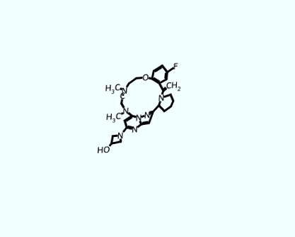 C=C1c2cc(F)ccc2OCCN(C)CCN(C)c2cc(N3CC(O)C3)nc3cc(nn23)C2CCCCN12